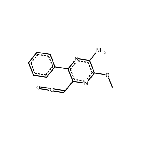 COc1nc(C=C=O)c(-c2ccccc2)nc1N